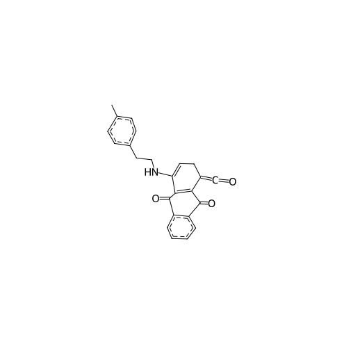 Cc1ccc(CCNC2=CCC(=C=O)C3=C2C(=O)c2ccccc2C3=O)cc1